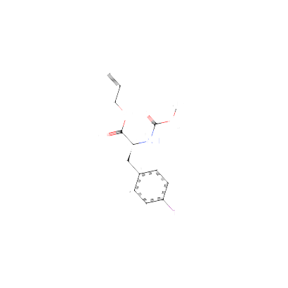 C=CCOC(=O)[C@H](Cc1ccc(I)cc1)NC(=O)OC(C)(C)C